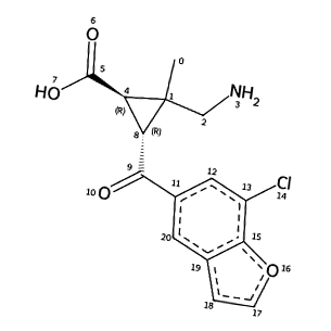 CC1(CN)[C@H](C(=O)O)[C@H]1C(=O)c1cc(Cl)c2occc2c1